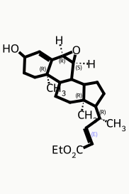 CCOC(=O)/C=C/[C@@H](C)C1CCC2C3C(CC[C@@]21C)[C@@]1(C)CCC(O)C=C1[C@H]1O[C@@H]31